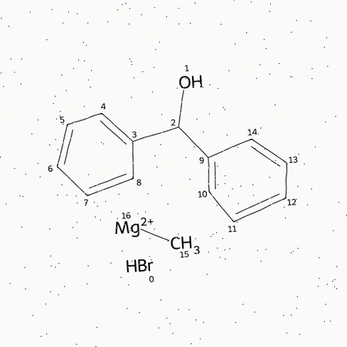 Br.OC(c1ccccc1)c1ccccc1.[CH3][Mg+2]